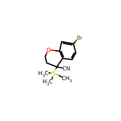 CS(C)(C)C1(C#N)CCOc2cc(Br)ccc21